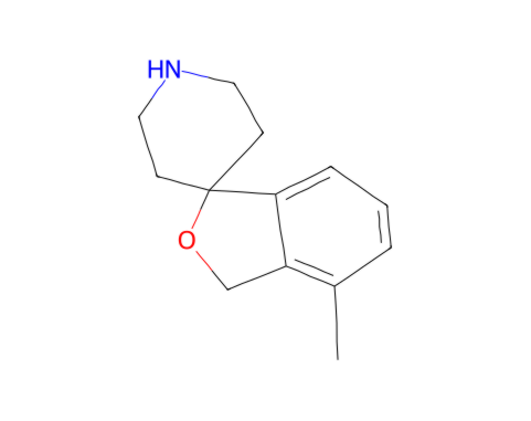 Cc1cccc2c1COC21CCNCC1